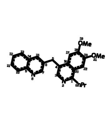 CCCc1ncc(Cc2cnc3ccccc3c2)c2cc(OC)c(OC)cc12